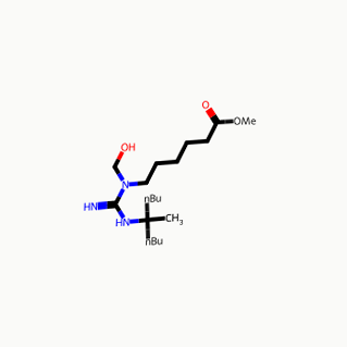 CCCCC(C)(CCCC)NC(=N)N(CO)CCCCCC(=O)OC